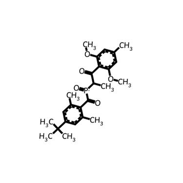 COc1cc(C)cc(OC)c1C(=O)C(C)[P](=O)C(=O)c1c(C)cc(C(C)(C)C)cc1C